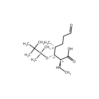 CN[C@H](C(=O)O)[C@H](O[Si](C)(C)C(C)(C)C)[C@H](C)CCC=O